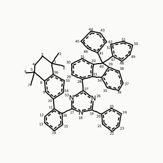 CC1(C)CCC(C)(C)c2cc(-c3ccccc3-c3nc(-c4ccccc4)nc(-c4cccc5c4-c4ccccc4C5(c4ccccc4)c4ccccc4)n3)ccc21